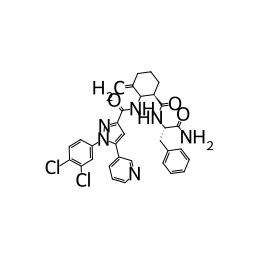 C=C1CCC[C@@H](C(=O)N[C@@H](Cc2ccccc2)C(N)=O)C1NC(=O)c1cc(-c2cccnc2)n(-c2ccc(Cl)c(Cl)c2)n1